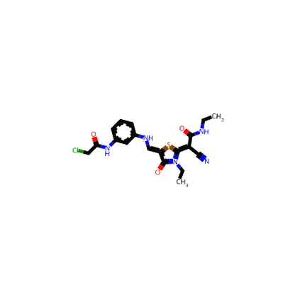 CCNC(=O)C(C#N)=c1sc(=CNc2cccc(NC(=O)CCl)c2)c(=O)n1CC